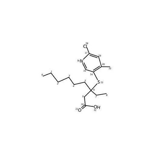 CCCCCCC(CC)(CC(=O)O)Sc1cnc(Cl)cc1C